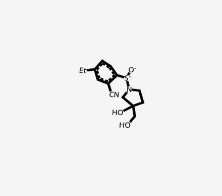 CCc1ccc([S+]([O-])N2CCC(O)(CO)C2)c(C#N)c1